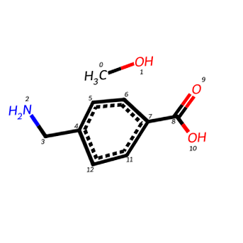 CO.NCc1ccc(C(=O)O)cc1